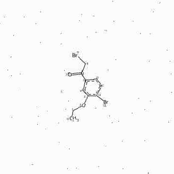 CCOc1cc(C(=O)CBr)ccc1Br